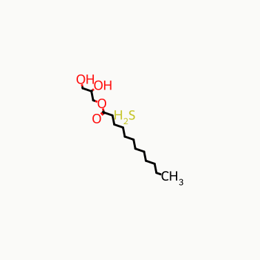 CCCCCCCCCCCC(=O)OCC(O)CO.S